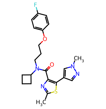 Cc1nc(C(=O)N(CCCOc2ccc(F)cc2)C2CCC2)c(-c2cnn(C)c2)s1